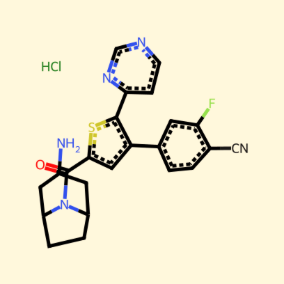 Cl.N#Cc1ccc(-c2cc(C(=O)N3C4CCC3CC(N)C4)sc2-c2ccncn2)cc1F